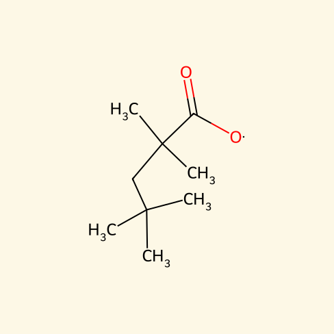 CC(C)(C)CC(C)(C)C([O])=O